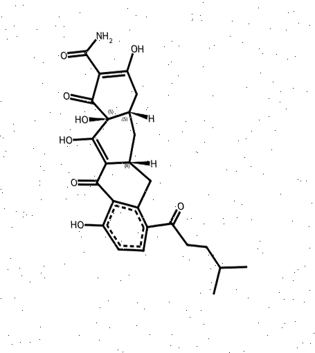 CC(C)CCC(=O)c1ccc(O)c2c1C[C@H]1C[C@H]3CC(O)=C(C(N)=O)C(=O)[C@@]3(O)C(O)=C1C2=O